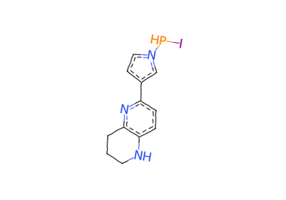 IPn1ccc(-c2ccc3c(n2)CCCN3)c1